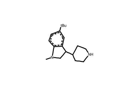 CN1CC(C2CCNCC2)c2cc(C(C)(C)C)ccc21